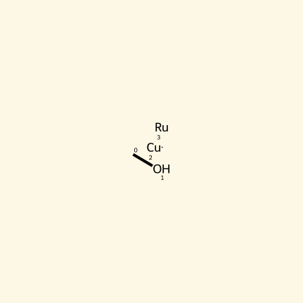 CO.[Cu].[Ru]